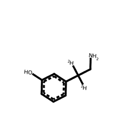 [2H]C([2H])(CN)c1cccc(O)c1